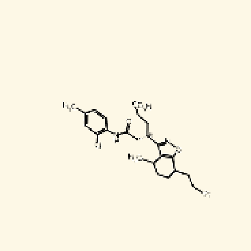 Cc1ccc(NC(=O)C[C@H](CCC(=O)O)c2noc3c2C(C)CCC3CCC(C)C)c(Cl)c1